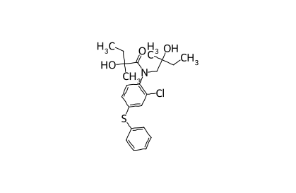 CCC(C)(O)CN(C(=O)C(C)(O)CC)c1ccc(Sc2ccccc2)cc1Cl